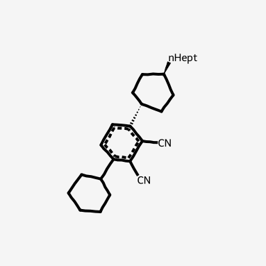 CCCCCCC[C@H]1CC[C@H](c2ccc(C3CCCCC3)c(C#N)c2C#N)CC1